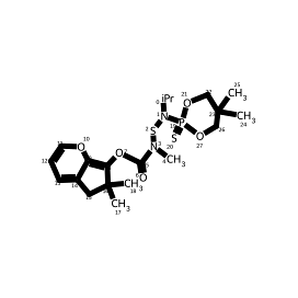 CC(C)N(SN(C)C(=O)OC1=C2OC=CC=C2CC1(C)C)P1(=S)OCC(C)(C)CO1